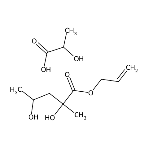 C=CCOC(=O)C(C)(O)CC(C)O.CC(O)C(=O)O